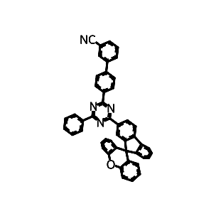 N#Cc1cccc(-c2ccc(-c3nc(-c4ccccc4)nc(-c4ccc5c(c4)C4(c6ccccc6Oc6ccccc64)c4ccccc4-5)n3)cc2)c1